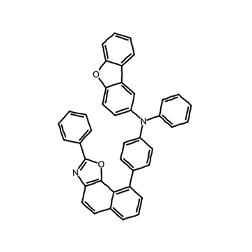 c1ccc(-c2nc3ccc4cccc(-c5ccc(N(c6ccccc6)c6ccc7oc8ccccc8c7c6)cc5)c4c3o2)cc1